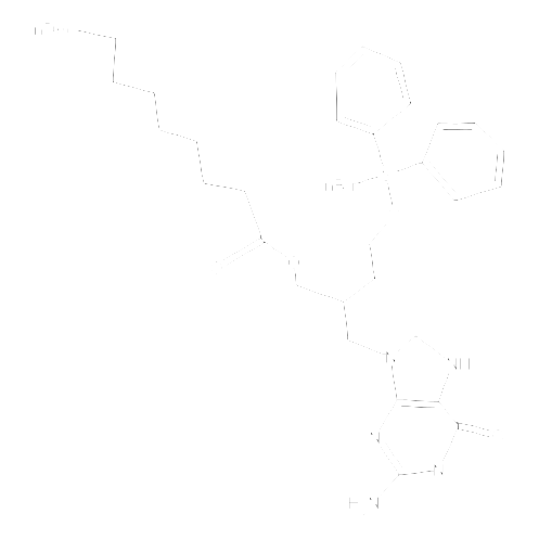 CCCCCCCCCCCCCCCCCC(=O)OCC(CCO[Si](CCCC)(c1ccccc1)c1ccccc1)CN1CNc2c1nc(N)[nH]c2=O